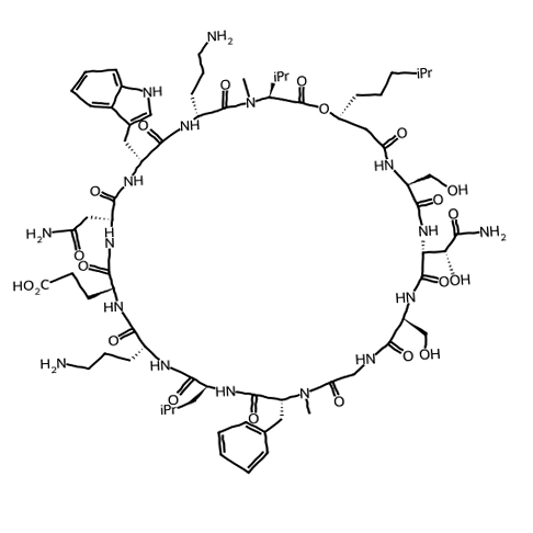 CC(C)CCC[C@@H]1CC(=O)N[C@@H](CO)C(=O)N[C@H]([C@@H](O)C(N)=O)C(=O)N[C@@H](CO)C(=O)NCC(=O)N(C)[C@H](Cc2ccccc2)C(=O)N[C@@H](CC(C)C)C(=O)N[C@H](CCCN)C(=O)N[C@@H](CCC(=O)O)C(=O)N[C@H](CC(N)=O)C(=O)N[C@H](Cc2c[nH]c3ccccc23)C(=O)N[C@H](CCCN)C(=O)N(C)[C@@H](C(C)C)C(=O)O1